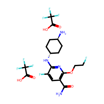 NC(=O)c1cc(F)c(N[C@H]2CC[C@H](N)CC2)nc1OCCF.O=C(O)C(F)(F)F.O=C(O)C(F)(F)F